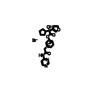 O=C(C[N+]12CCC(CC1)C(OC(=O)[C@](O)(c1ccoc1)C1CCCC1)C2)Nc1ccncn1.[Br-]